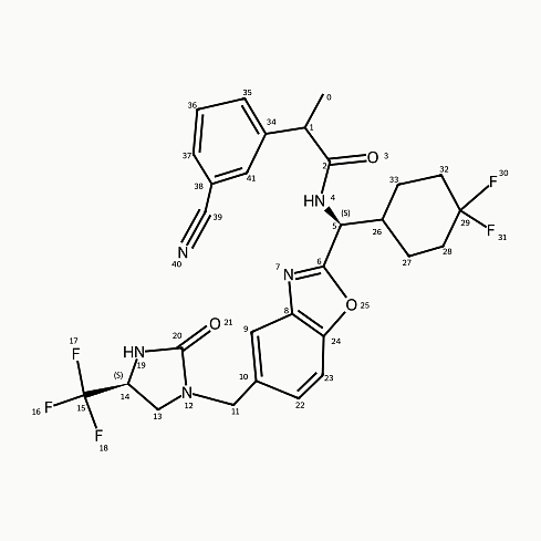 CC(C(=O)N[C@H](c1nc2cc(CN3C[C@@H](C(F)(F)F)NC3=O)ccc2o1)C1CCC(F)(F)CC1)c1cccc(C#N)c1